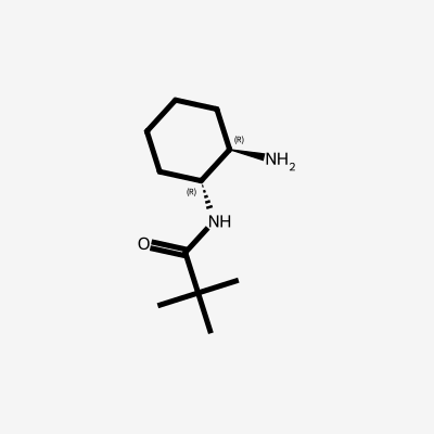 CC(C)(C)C(=O)N[C@@H]1CCCC[C@H]1N